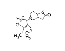 C/C=C\C(=C(\Cl)CC)[C@@H](C)N1CCC2SC(=O)CC2C1